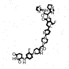 O=C1CCC(Nc2ccc(N3CCC(O)(CC(=O)N4CCN(c5ccc(-c6cc(F)c7c(c6)C(=O)N(C(C(=O)Nc6nccs6)c6ncn8c6CCC8)C7)cn5)CC4)CC3)c(F)c2)C(=O)N1